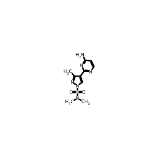 Cc1nn(S(=O)(=O)N(C)C)cc1-c1nccc(N)n1